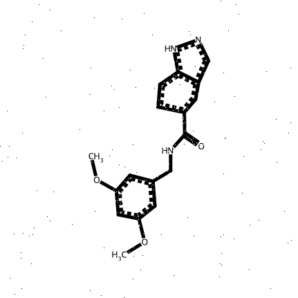 COc1cc(CNC(=O)c2ccc3[nH]ncc3c2)cc(OC)c1